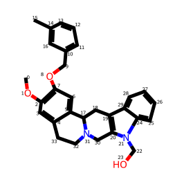 COc1cc2c(cc1OCc1cccc(C)c1)C1Cc3c(n(CO)c4ccccc34)CN1CC2